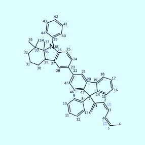 C=C(/C=C\C=C/C)C1(c2ccccc2)c2ccccc2-c2cc(-c3ccc4c(c3)C3CCCC(C)(C)C3(C)N4c3ccccc3)ccc21